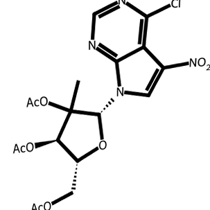 CC(=O)OC[C@H]1O[C@@H](n2cc([N+](=O)[O-])c3c(Cl)ncnc32)C(C)(OC(C)=O)[C@@H]1OC(C)=O